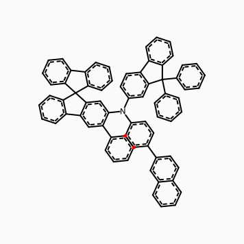 c1ccc(-c2cc3c(cc2N(c2ccc(-c4ccc5ccccc5c4)cc2)c2ccc4c(c2)C(c2ccccc2)(c2ccccc2)c2ccccc2-4)C2(c4ccccc4-c4ccccc42)c2ccccc2-3)cc1